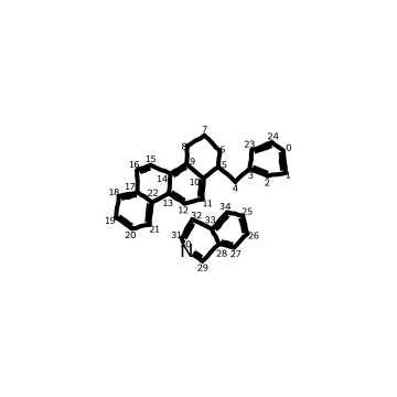 c1ccc(CC2CCCc3c2ccc2c3ccc3ccccc32)cc1.c1ccc2cnccc2c1